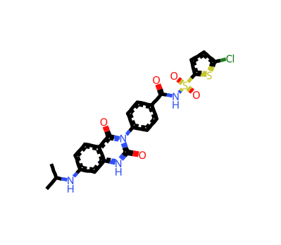 CC(C)Nc1ccc2c(=O)n(-c3ccc(C(=O)NS(=O)(=O)c4ccc(Cl)s4)cc3)c(=O)[nH]c2c1